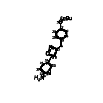 CCCCOc1ccc(Cc2cc(-c3ccc(N)nc3)on2)cc1